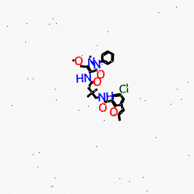 COCc1c(NC(=O)CC(C)(C)CNC(=O)c2cc(Cl)cc3cc(C)oc23)c(=O)n(-c2ccccc2)n1C